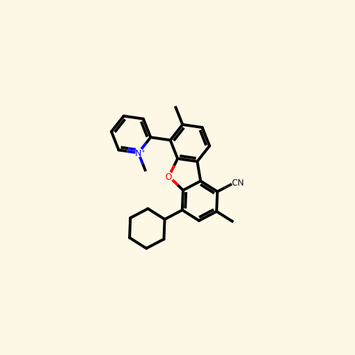 Cc1ccc2c(oc3c(C4CCCCC4)cc(C)c(C#N)c32)c1-c1cccc[n+]1C